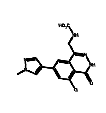 Cn1cc(-c2cc(Cl)c3c(=O)[nH]nc(CNC(=O)O)c3c2)cn1